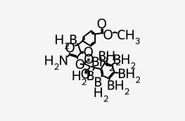 Bc1c(B)c(B)c(C(B)(B)S(=O)(=O)OC2=C(N)OC(B)(c3ccc(C(=O)OCC)cc3)C2=O)c(B)c1B